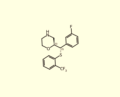 Fc1cccc([C@H](Sc2ccccc2C(F)(F)F)[C@@H]2CNCCO2)c1